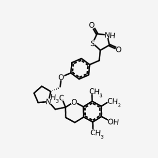 Cc1c(C)c2c(c(C)c1O)CCC(C)(CN1CCC[C@@H]1COc1ccc(CC3SC(=O)NC3=O)cc1)O2